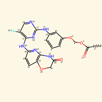 CNC(=O)OCOc1cccc(Nc2ncc(F)c(Nc3ccc4c(n3)NC(=O)CO4)n2)c1